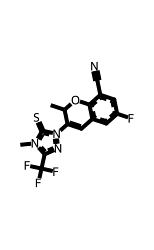 CC1Oc2c(C#N)cc(F)cc2C=C1n1nc(C(F)(F)F)n(C)c1=S